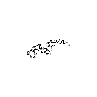 CC(C)(N)CCOc1ccc(CN2CCCC2CNc2nccc(N3CCCCCC3)n2)cc1